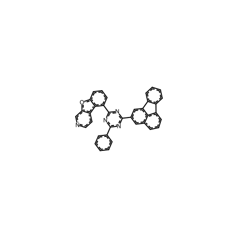 c1ccc(-c2nc(-c3cc4c5c(cccc5c3)-c3ccccc3-4)nc(-c3cccc4oc5cnccc5c34)n2)cc1